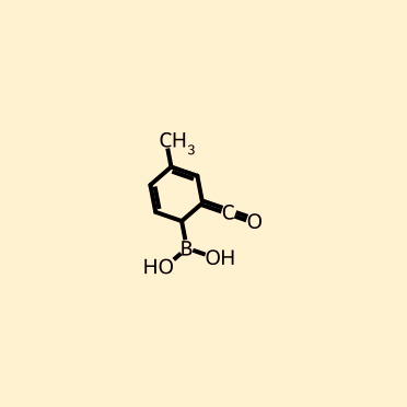 CC1=CC(=C=O)C(B(O)O)C=C1